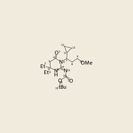 CCC1(CC)CC(=O)N(C(CCOC)C2CC2)C(=NC(=O)OC(C)(C)C)N1